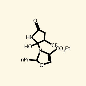 CCCC1OC=C(C(=O)OCC)N1C1(O)NC(=O)CC1C(F)(F)F